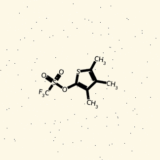 Cc1sc(OS(=O)(=O)C(F)(F)F)c(C)c1C